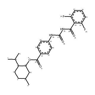 CC1CCC(C(C)C)C(OC(=O)c2ccc(NC(=O)NC(=O)c3c(F)cccc3F)cc2)C1